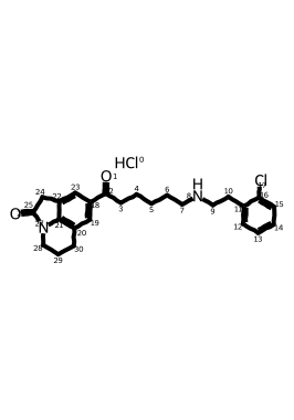 Cl.O=C(CCCCCNCCc1ccccc1Cl)c1cc2c3c(c1)CC(=O)N3CCC2